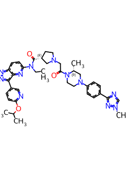 CCN(C(=O)[C@@H]1CCN(CC(=O)N2CCN(c3ccc(-c4ncn(C)n4)cc3)C[C@H]2C)C1)c1ccc2[nH]nc(-c3ccc(OC(C)C)nc3)c2n1